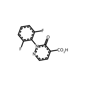 O=C(O)c1ccnn(-c2c(F)cccc2F)c1=O